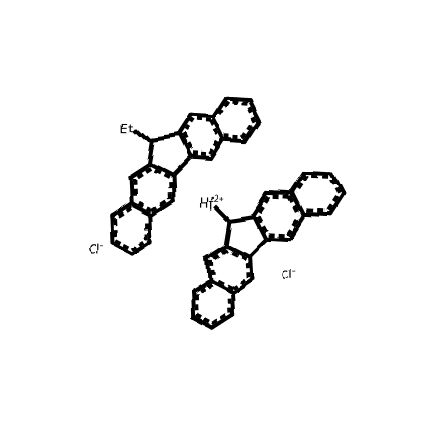 CCC1c2cc3ccccc3cc2-c2cc3ccccc3cc21.[Cl-].[Cl-].[Hf+2][CH]1c2cc3ccccc3cc2-c2cc3ccccc3cc21